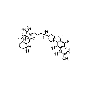 [2H]c1c(F)c([2H])c(N([2H])C(C)=O)c([2H])c1N1CCN(C([2H])([2H])CCCN(C([2H])([2H])[2H])S(=O)(=O)CC2C([2H])([2H])CCCC2([2H])[2H])CC1